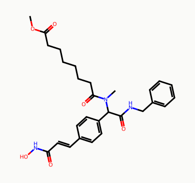 COC(=O)CCCCCCC(=O)N(C)C(C(=O)NCc1ccccc1)c1ccc(C=CC(=O)NO)cc1